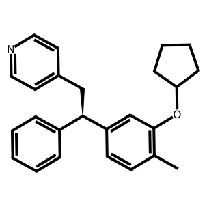 Cc1ccc([C@H](Cc2ccncc2)c2ccccc2)cc1OC1CCCC1